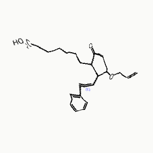 C=CCOC1CC(=O)C(CCCCCCC(=O)O)C1/C=C/c1ccccc1